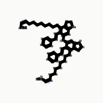 CCCCCCCC/C=C\CCCCCCCCc1c(C=Cc2ccccc2)c(Oc2cc3c(c(CCCCCCCC/C=C\CCCCCCCC)c2C=Cc2ccccc2)CCO3)cc2c1CCO2